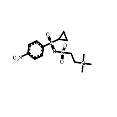 C[Si](C)(C)CCS(=O)(=O)N=S(=O)(c1ccc([N+](=O)[O-])cc1)C1CC1